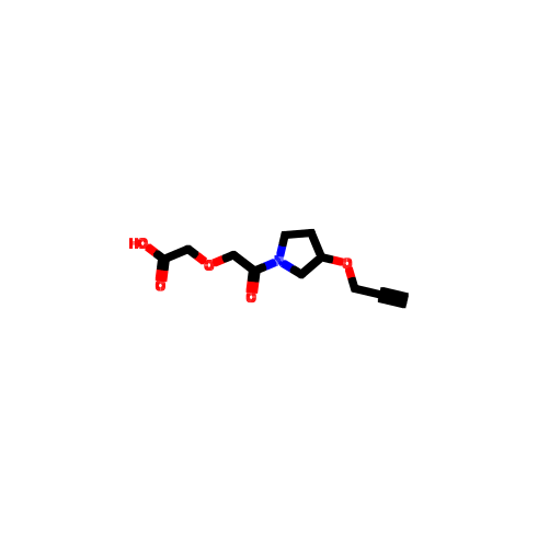 C#CCOC1CCN(C(=O)COCC(=O)O)C1